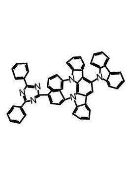 c1ccc(-c2nc(-c3ccccc3)nc(-c3ccc(-n4c5ccccc5c5cc(-n6c7ccccc7c7ccccc76)c6c7ccccc7n(-c7ccccc7)c6c54)cc3)n2)cc1